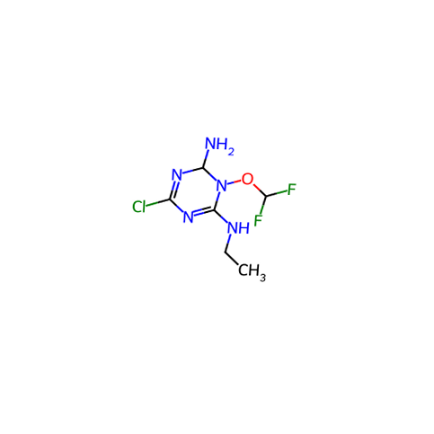 CCNC1=NC(Cl)=NC(N)N1OC(F)F